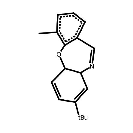 Cc1cccc2c1OC1C=CC(C(C)(C)C)=CC1N=C2